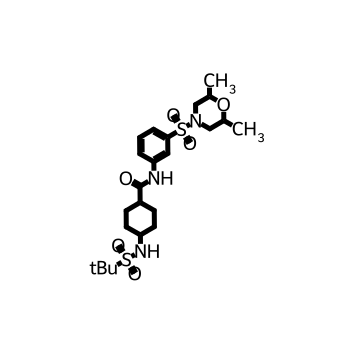 CC1CN(S(=O)(=O)c2cccc(NC(=O)C3CCC(NS(=O)(=O)C(C)(C)C)CC3)c2)CC(C)O1